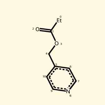 CCC(=O)OCc1ccncc1